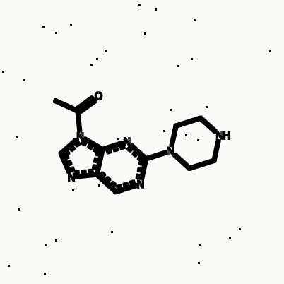 CC(=O)n1cnc2cnc(N3CCNCC3)nc21